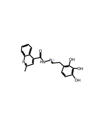 Cc1cc(C(=O)N/N=C/Cc2ccc(O)c(O)c2O)c2ccccc2n1